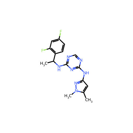 Cc1cc(Nc2ncnc(NC(C)c3ccc(F)cc3F)n2)nn1C